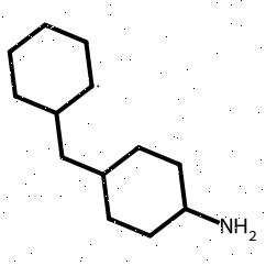 NC1CCC(CC2[CH]CCCC2)CC1